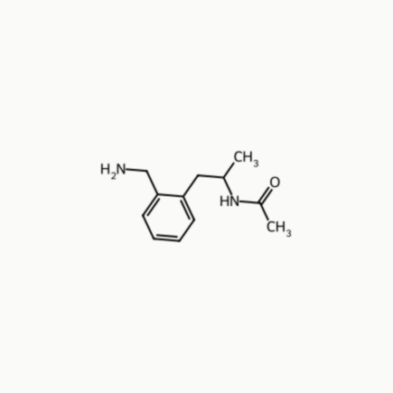 CC(=O)NC(C)Cc1ccccc1CN